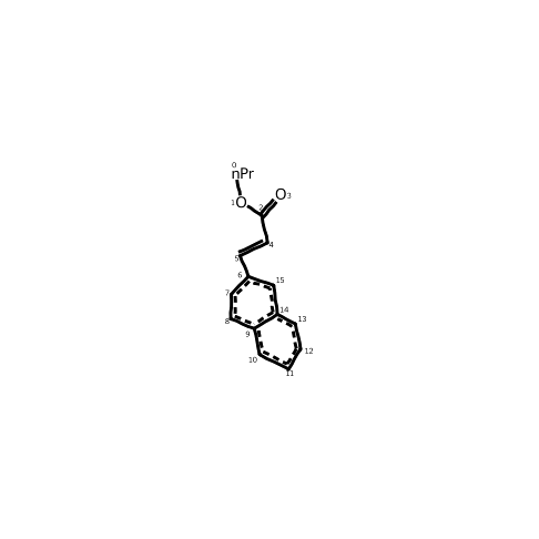 CCCOC(=O)C=Cc1ccc2ccccc2c1